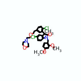 COc1ccc(CN2C(=O)C(C)(c3cc(CCOCCN4CCOCC4)ccc3Cl)c3cc(Cl)ccc32)c(OC)c1